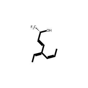 C\C=C/C(/C=C/[C@@H](O)C(F)(F)F)=C\C